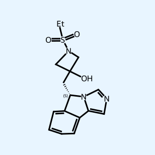 CCS(=O)(=O)N1CC(O)(C[C@H]2c3ccccc3-c3cncn32)C1